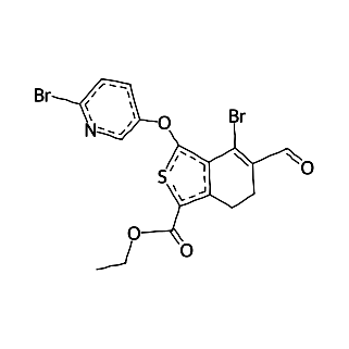 CCOC(=O)c1sc(Oc2ccc(Br)nc2)c2c1CCC(C=O)=C2Br